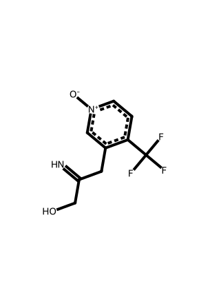 N=C(CO)Cc1c[n+]([O-])ccc1C(F)(F)F